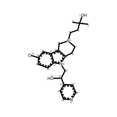 CC(C)(O)CCN1CCc2c(c3cc(Cl)ccc3n2CC(O)c2ccncc2)C1